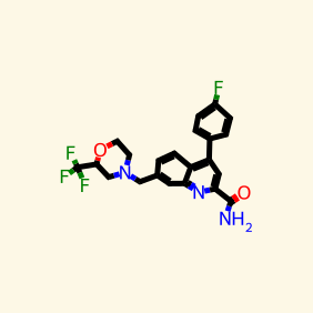 NC(=O)c1cc(-c2ccc(F)cc2)c2ccc(CN3CCOC(C(F)(F)F)C3)cc2n1